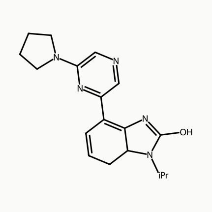 CC(C)N1C(O)=NC2=C(c3cncc(N4CCCC4)n3)C=CCC21